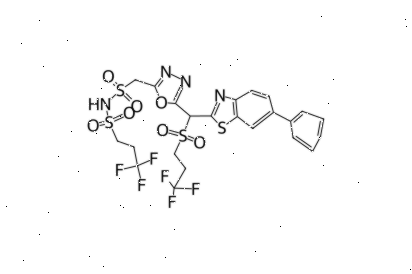 O=S(=O)(CCC(F)(F)F)NS(=O)(=O)Cc1nnc(C(c2nc3ccc(-c4ccccc4)cc3s2)S(=O)(=O)CCC(F)(F)F)o1